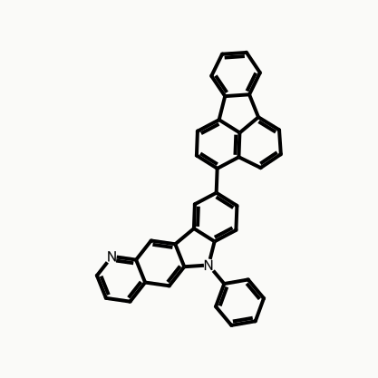 c1ccc(-n2c3ccc(-c4ccc5c6c(cccc46)-c4ccccc4-5)cc3c3cc4ncccc4cc32)cc1